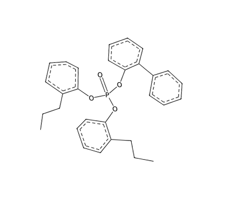 CCCc1ccccc1OP(=O)(Oc1ccccc1CCC)Oc1ccccc1-c1ccccc1